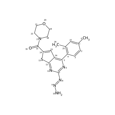 Cc1ccc(-c2nc(N=NN)nc3sc(C(=O)N4CCOCC4)cc23)c(C)c1